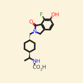 CC(NC(=O)O)[C@H]1CC[C@H](CN2Cc3ccc(O)c(F)c3C2=O)CC1